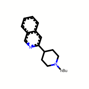 CCCCN1CCC(c2cc3ccccc3cn2)CC1